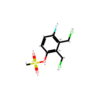 CS(=O)(=O)Oc1ccc(F)c(CCl)c1CCl